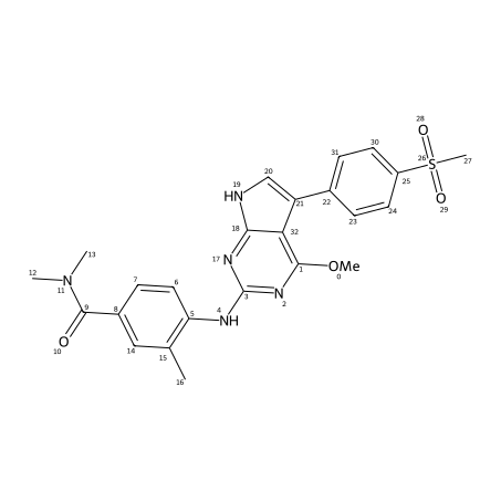 COc1nc(Nc2ccc(C(=O)N(C)C)cc2C)nc2[nH]cc(-c3ccc(S(C)(=O)=O)cc3)c12